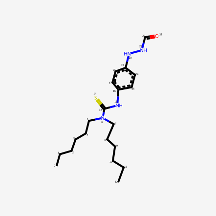 CCCCCCN(CCCCCC)C(=S)Nc1ccc(NNC=O)cc1